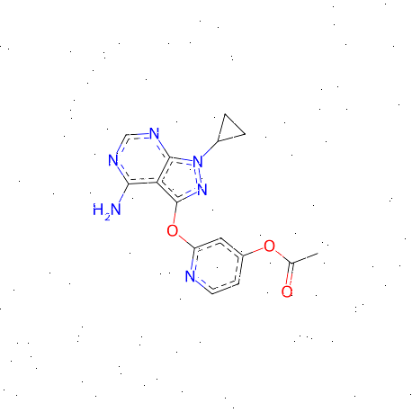 CC(=O)Oc1ccnc(Oc2nn(C3CC3)c3ncnc(N)c23)c1